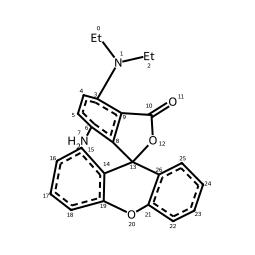 CCN(CC)c1ccc(N)c2c1C(=O)OC21c2ccccc2Oc2ccccc21